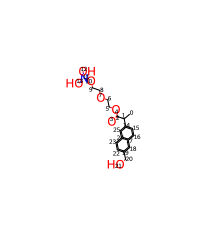 CC(C(=O)OCCOCCON(O)O)c1ccc2cc(CO)ccc2c1